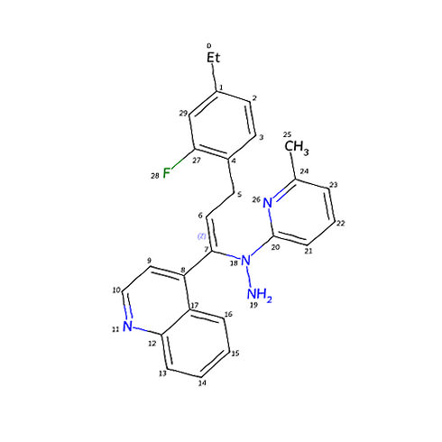 CCc1ccc(C/C=C(/c2ccnc3ccccc23)N(N)c2cccc(C)n2)c(F)c1